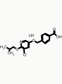 CC(C)COc1ncc(OCc2ccc(C(=O)O)cc2)cc1Cl.[LiH]